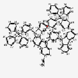 N#Cc1ccc2c(c1)c1ccc3c(c4ccccc4n3-c3cccc(S(c4ccccc4)(c4ccccc4)c4ccccc4)c3)c1n2-c1nc(-c2cccc(S(c3ccccc3)(c3ccccc3)c3ccccc3)c2)nc(-n2c3ccccc3c3ccccc32)n1